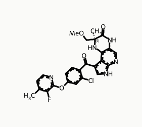 COC[C@]1(C)Nc2c(cnc3[nH]cc(C(=O)c4ccc(Oc5nccc(C)c5F)cc4Cl)c23)NC1=O